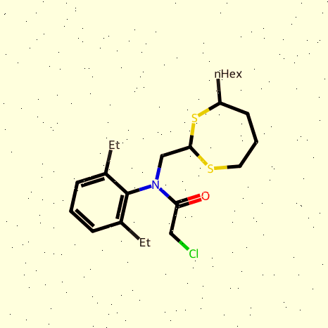 CCCCCCC1CCCSC(CN(C(=O)CCl)c2c(CC)cccc2CC)S1